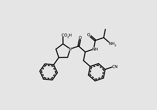 CC(N)C(=O)NC(Cc1cccc(C#N)c1)C(=O)N1CC(c2ccccc2)CC1C(=O)O